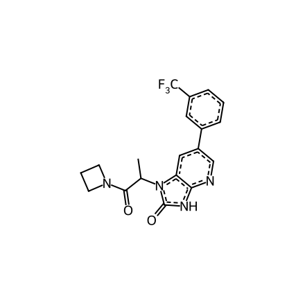 CC(C(=O)N1CCC1)n1c(=O)[nH]c2ncc(-c3cccc(C(F)(F)F)c3)cc21